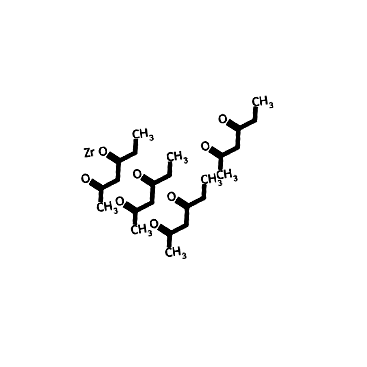 CCC(=O)CC(C)=O.CCC(=O)CC(C)=O.CCC(=O)CC(C)=O.CCC(=O)CC(C)=O.[Zr]